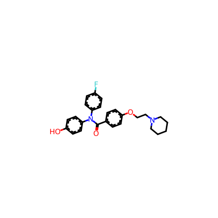 O=C(c1ccc(OCCN2CCCCC2)cc1)N(c1ccc(O)cc1)c1ccc(F)cc1